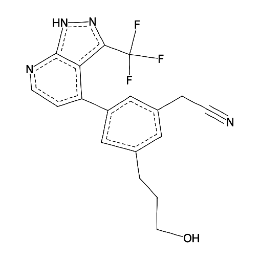 N#CCc1cc(CCCO)cc(-c2ccnc3[nH]nc(C(F)(F)F)c23)c1